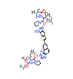 COC(=O)N[C@H](C(=O)N1CCC[C@H]1c1nc2ccc3cc(-c4cc5c(s4)-c4[nH]c([C@@H]6CCCN6C(=O)[C@@H](NC(C)=O)C(C)C)nc4C5)ccc3c2[nH]1)C(C)C